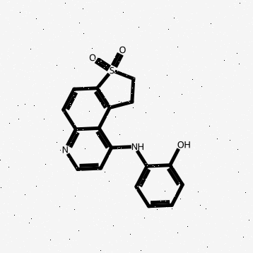 O=S1(=O)CCc2c1ccc1nccc(Nc3ccccc3O)c21